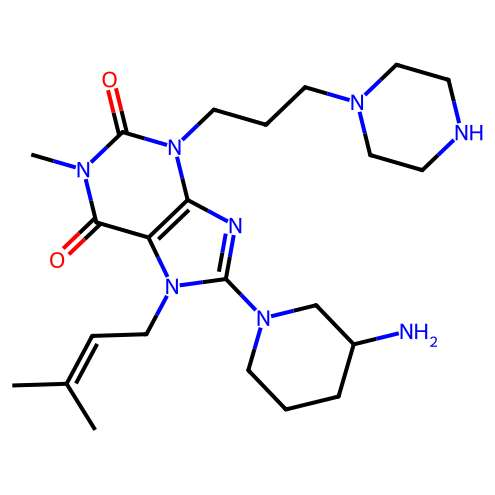 CC(C)=CCn1c(N2CCCC(N)C2)nc2c1c(=O)n(C)c(=O)n2CCCN1CCNCC1